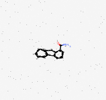 NC(=O)c1cccc2c1Cc1ccccc1-2